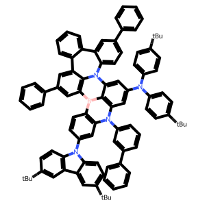 CC(C)(C)c1ccc(N(c2ccc(C(C)(C)C)cc2)c2cc3c4c(c2)N2c5ccc(-c6ccccc6)cc5-c5ccccc5-c5cc(-c6ccccc6)cc(c52)B4c2ccc(-n4c5ccc(C(C)(C)C)cc5c5cc(C(C)(C)C)ccc54)cc2N3c2cccc(-c3ccccc3)c2)cc1